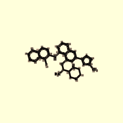 CC(Oc1cc(-c2cnn(C)c2)cc2ncnc(Nc3ccc4ncccc4c3F)c12)C1COCCN1